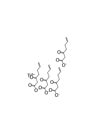 C=CCCC(=O)CC(=O)[O-].C=CCCC(=O)CC(=O)[O-].C=CCCC(=O)CC(=O)[O-].C=CCCC(=O)CC(=O)[O-].[Ti+4]